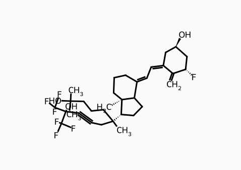 C=C1/C(=C\C=C2/CCC[C@@]3(C)C2CC[C@@H]3C(C)(CC#CC(O)(C(F)(F)F)C(F)(F)F)CCCC(C)(C)O)C[C@@H](O)C[C@@H]1F